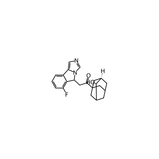 O=C(CC1c2c(F)cccc2-c2cncn21)C12CC3CC(C1)C(O)[C@H](C3)C2